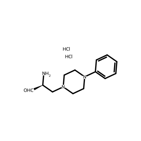 Cl.Cl.N[C@H](C=O)CN1CCN(c2ccccc2)CC1